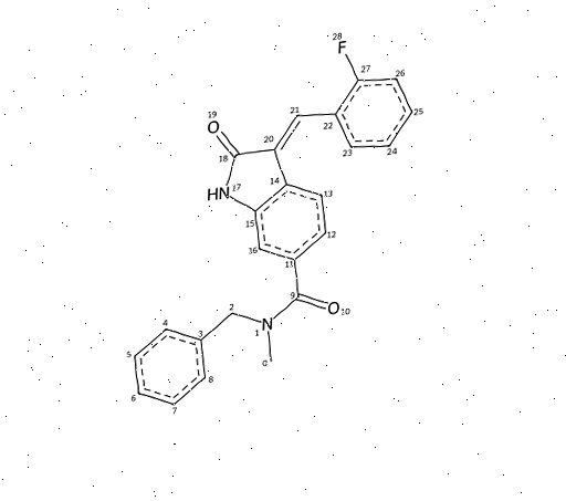 CN(Cc1ccccc1)C(=O)c1ccc2c(c1)NC(=O)/C2=C/c1ccccc1F